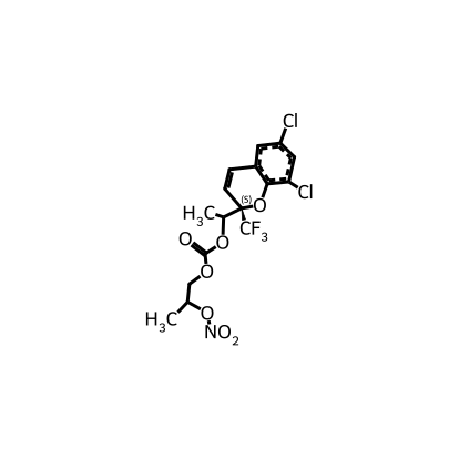 CC(COC(=O)OC(C)[C@]1(C(F)(F)F)C=Cc2cc(Cl)cc(Cl)c2O1)O[N+](=O)[O-]